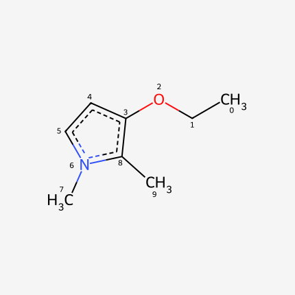 CCOc1ccn(C)c1C